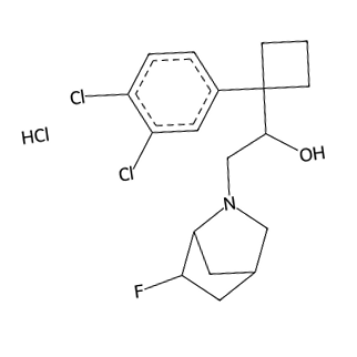 Cl.OC(CN1CC2CC(F)C1C2)C1(c2ccc(Cl)c(Cl)c2)CCC1